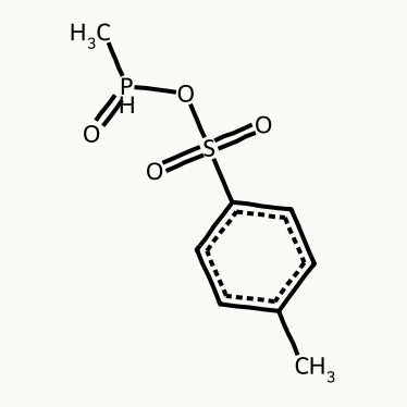 Cc1ccc(S(=O)(=O)O[PH](C)=O)cc1